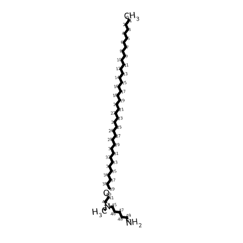 CCCCCCCCCCCCCCCCCCCCCCCCCCCCCCCCCCCCCCCCOCCN(C)CCCCCN